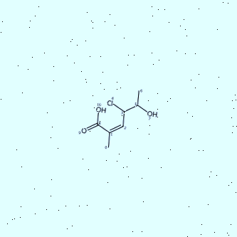 CC(=CC(Cl)C(C)O)C(=O)O